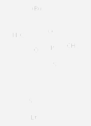 CCSCCSP(C)(=O)OC(C)C(C)(C)C